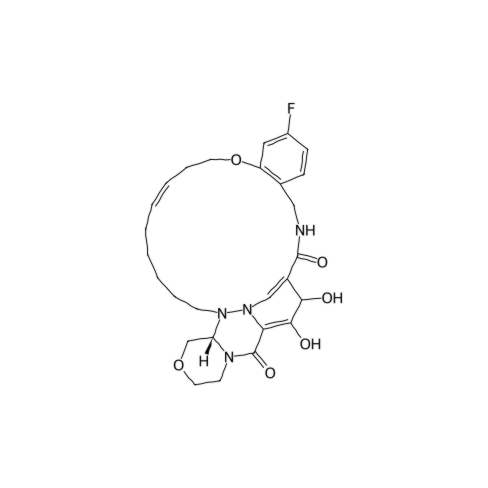 O=C1NCc2ccc(F)cc2OCC/C=C\CCCCCN2[C@H]3COCCN3C(=O)C3=C(O)C(O)C1=CN32